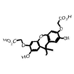 CC1(C)c2cc(O)c(OCC(=O)O)cc2Oc2cc(OCC(=O)O)c(O)cc21